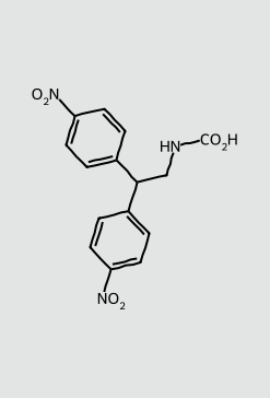 O=C(O)NCC(c1ccc([N+](=O)[O-])cc1)c1ccc([N+](=O)[O-])cc1